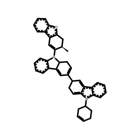 C[C@@H]1Cc2oc3ccccc3c2C=C1N1c2ccccc2C2=CC(C3C=c4c(n(C5CC=CCC5)c5ccccc45)=CC3)=CCC21